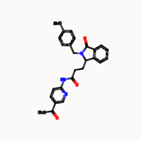 COC(=O)c1ccc(NC(=O)CCC2c3ccccc3C(=O)N2Cc2ccc(OC)cc2)nc1